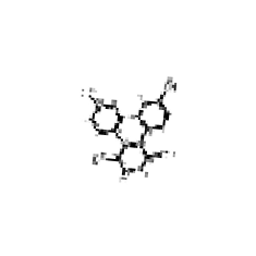 N#Cc1ccc(-n2c(-c3ccc(Cl)cc3)c(Br)ncc2=O)cc1